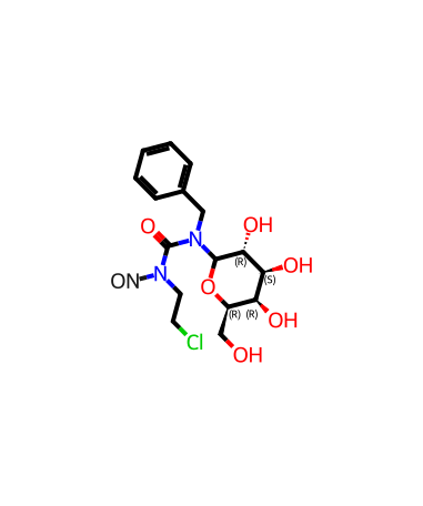 O=NN(CCCl)C(=O)N(Cc1ccccc1)C1O[C@H](CO)[C@H](O)[C@H](O)[C@H]1O